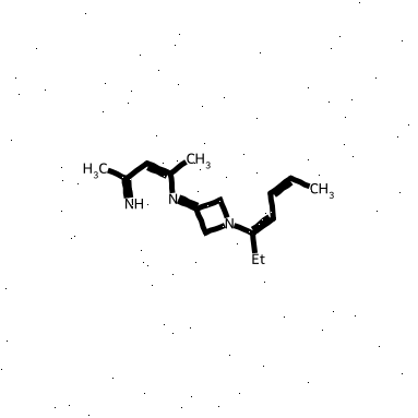 C/C=C\C=C(\CC)N1CC(=N/C(C)=C\C(C)=N)C1